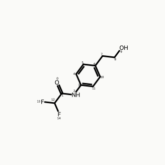 O=C(Nc1ccc(CCO)cc1)C(F)F